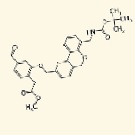 COC(=O)Cc1ccc(C=O)cc1OCc1ccc2c(c1)-c1cccc(CNC(=O)OC(C)(C)C)c1OC2